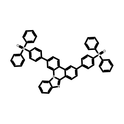 O=P(c1ccccc1)(c1ccccc1)c1ccc(-c2ccc3c(c2)c2ccc(-c4ccc(P(=O)(c5ccccc5)c5ccccc5)cc4)cc2n2c4ccccc4nc32)cc1